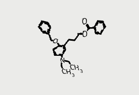 CCN(CC)c1ccc(OCc2ccccc2)c(CCCOC(=O)c2ccccc2)c1